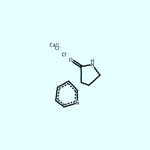 O=C1CCCN1.[Ca+2].[Cl-].[Cl-].c1ccncc1